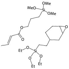 CC=CC(=O)OCCC[Si](OC)(OC)OC.CCO[Si](CCC1CCC2OC2C1)(OCC)OCC